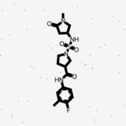 Cc1cc(NC(=O)C2CCN(S(=O)(=O)NC3CC(=O)N(C)C3)C2)ccc1F